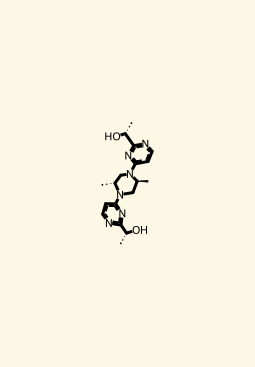 C[C@@H]1CN(c2ccnc([C@@H](C)O)n2)[C@@H](C)CN1c1ccnc([C@@H](C)O)n1